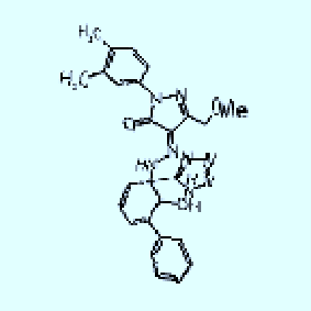 COCC1=NN(c2ccc(C)c(C)c2)C(=O)/C1=N\NC1(c2nnn[nH]2)C=CC=C(c2ccccc2)C1O